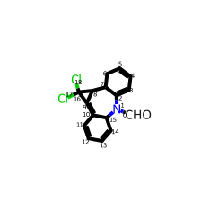 O=CN1C2=CC=CCC2C2C(=C3C=CC=CC31)C2(Cl)Cl